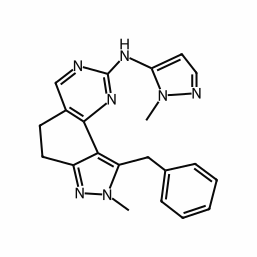 Cn1nccc1Nc1ncc2c(n1)-c1c(nn(C)c1Cc1ccccc1)CC2